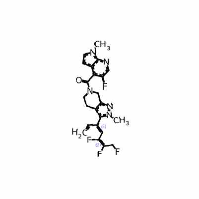 C=C/C(=C\C(F)=C(\F)CF)c1c2c(nn1C)CN(C(=O)c1c(F)cnc3c1ccn3C)CC2